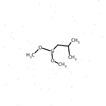 CO[Si](CC(C)C)OC